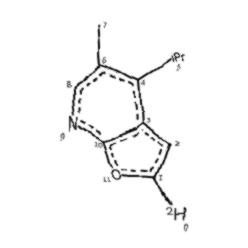 [2H]c1cc2c(C(C)C)c(C)cnc2o1